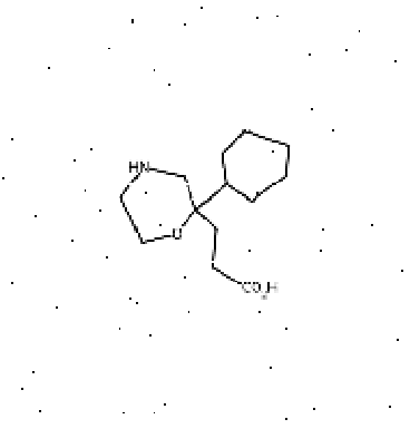 O=C(O)CCC1(C2CCCCC2)CNCCO1